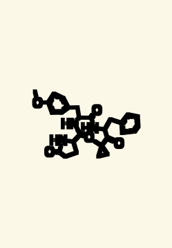 COc1ccc(CC(NC(=O)C2CCC(=O)N2)C(=O)NC(Cc2ccccc2)C(=O)C2(C)CC2)cc1